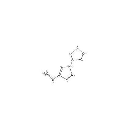 C=Nc1cnn([C@@H]2CCOC2)c1